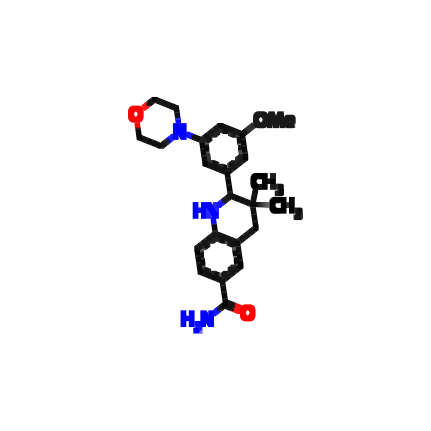 COc1cc(C2Nc3ccc(C(N)=O)cc3CC2(C)C)cc(N2CCOCC2)c1